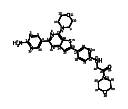 Nc1ncc(-c2nc(N3CCOCC3)c3sc(-c4ccc(NCC(=O)N5CCOCC5)nc4)cc3n2)cn1